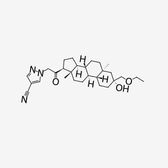 CCOC[C@@]1(O)CC[C@@H]2[C@H]3CC[C@]4(C)[C@@H](C(=O)Cn5cc(C#N)cn5)CC[C@H]4[C@@H]3CC[C@@]2(C)C1